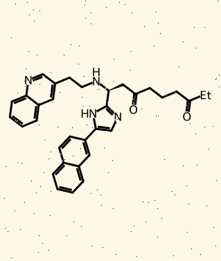 CCC(=O)CCCC(=O)C[C@H](NCCc1cnc2ccccc2c1)c1ncc(-c2ccc3ccccc3c2)[nH]1